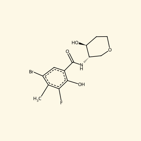 Cc1c(Br)cc(C(=O)N[C@H]2COCC[C@@H]2O)c(O)c1F